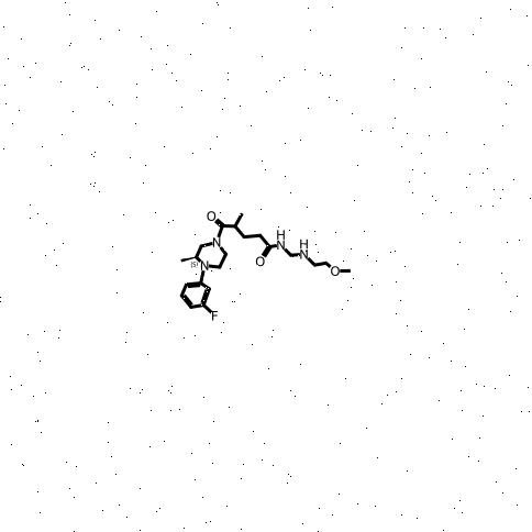 COCCNCNC(=O)CCC(C)C(=O)N1CCN(c2cccc(F)c2)[C@@H](C)C1